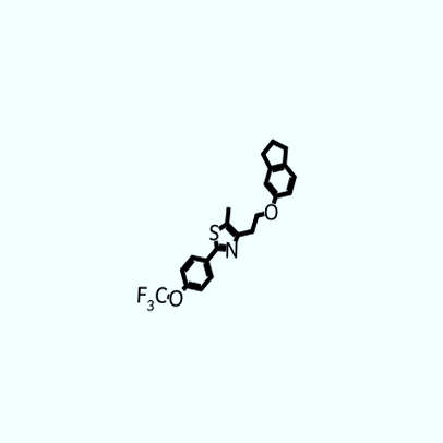 Cc1sc(-c2ccc(OC(F)(F)F)cc2)nc1CCOc1ccc2c(c1)CCC2